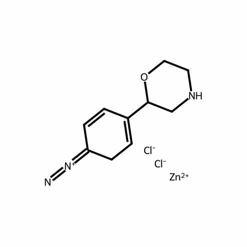 [Cl-].[Cl-].[N-]=[N+]=C1C=CC(C2CNCCO2)=CC1.[Zn+2]